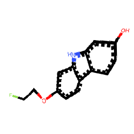 Oc1ccc2c(c1)[nH]c1cc(OCCF)ccc12